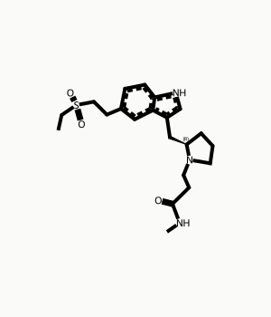 CCS(=O)(=O)CCc1ccc2[nH]cc(C[C@H]3CCCN3CCC(=O)NC)c2c1